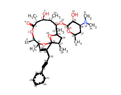 CC[C@H]1OC(=O)[C@H](C)[C@@H](O)[C@H](C)[C@@H](O[C@@H]2O[C@H](C)C[C@H](N(C)C)[C@H]2O)[C@@]2(C)C[C@@H](C)C3(OC1(C)C=C3CC#Cc1ccccc1)O2